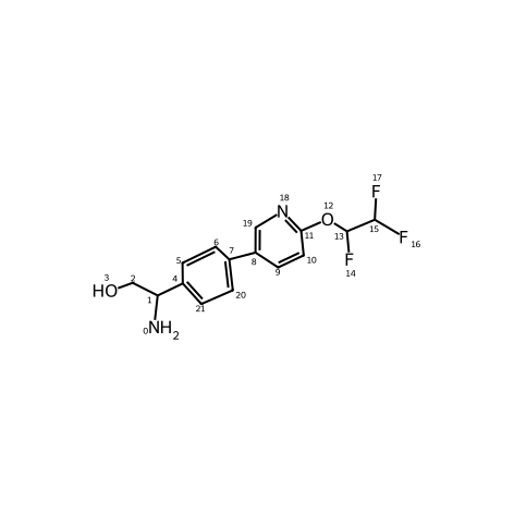 NC(CO)c1ccc(-c2ccc(OC(F)C(F)F)nc2)cc1